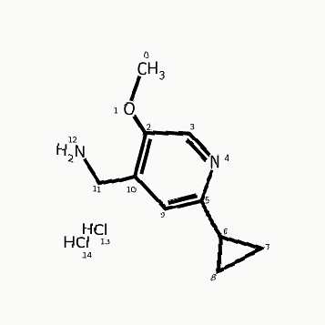 COc1cnc(C2CC2)cc1CN.Cl.Cl